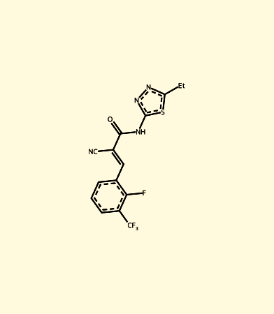 CCc1nnc(NC(=O)/C(C#N)=C/c2cccc(C(F)(F)F)c2F)s1